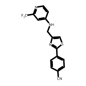 N#Cc1ccc(-c2nc(CNc3ccnc(C(F)(F)F)c3)cs2)cc1